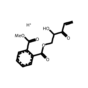 C=CC(=O)C(O)COC(=O)c1ccccc1C(=O)OC.[H+]